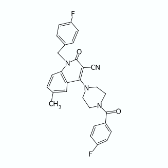 Cc1ccc2c(c1)c(N1CCN(C(=O)c3ccc(F)cc3)CC1)c(C#N)c(=O)n2Cc1ccc(F)cc1